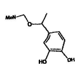 CNCOC(C)c1ccc(O)c(O)c1